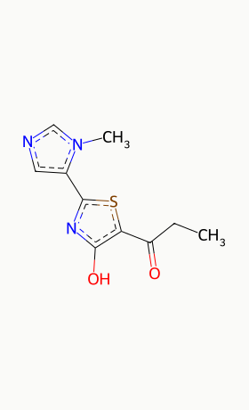 CCC(=O)c1sc(-c2cncn2C)nc1O